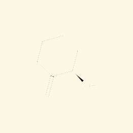 C=C1CCCC[C@H]1O